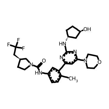 Cc1ccc(NC(=O)N2CC[C@@H](CC(F)(F)F)C2)cc1-c1cc(N2CCOCC2)nc(N[C@@H]2CC[C@@H](O)C2)n1